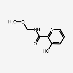 COCNC(=O)c1ncccc1O